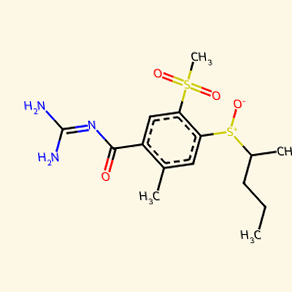 CCCC(C)[S+]([O-])c1cc(C)c(C(=O)N=C(N)N)cc1S(C)(=O)=O